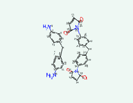 Nc1ccc(Cc2ccc(N)cc2)cc1.O=C1C=CC(=O)N1c1ccc(Cc2ccc(N3C(=O)C=CC3=O)cc2)cc1